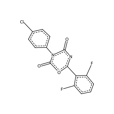 O=c1nc(-c2c(F)cccc2F)oc(=O)n1-c1ccc(Cl)cc1